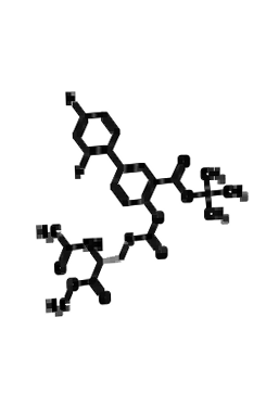 COC(=O)[C@@H](CSC(=O)Oc1ccc(-c2ccc(F)cc2F)cc1C(=O)OC(C)(C)C)NC(C)=O